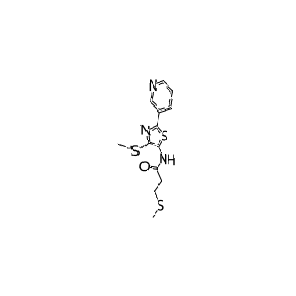 CSCCC(=O)Nc1sc(-c2cccnc2)nc1SC